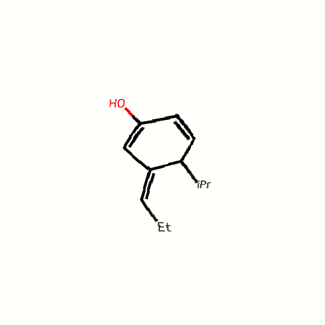 CC/C=C1/C=C(O)C=CC1C(C)C